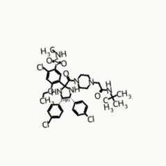 CCOc1cc(Cl)c(S(=O)(=O)NC)cc1C1(C(=O)N2CCN(CC(=O)NC(C)(C)C)CC2)N[C@H](c2ccc(Cl)cc2)[C@H](c2ccc(Cl)cc2)N1